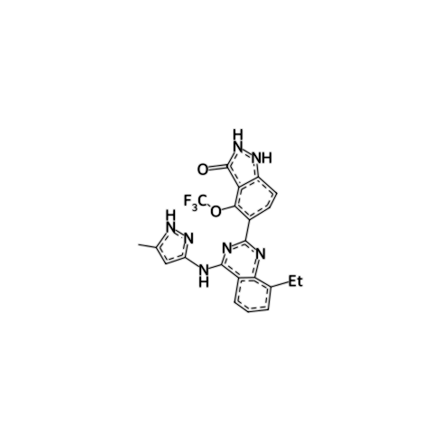 CCc1cccc2c(Nc3cc(C)[nH]n3)nc(-c3ccc4[nH][nH]c(=O)c4c3OC(F)(F)F)nc12